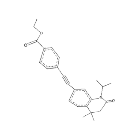 CCOC(=O)c1ccc(C#Cc2ccc3c(c2)N(C(C)C)C(=O)CC3(C)C)cc1